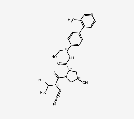 Cc1cnccc1-c1ccc([C@H](CO)NC(=O)[C@@H]2C[C@@H](O)CN2C(=O)[C@@H](N=[N+]=[N-])C(C)C)cc1